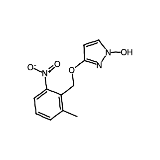 Cc1cccc([N+](=O)[O-])c1COc1ccn(O)n1